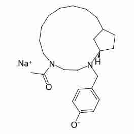 CC(=O)N1CCCCCCCCC2CC[C@@H](C2)N(Cc2ccc([O-])cc2)CC1.[Na+]